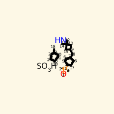 CP(C)(=O)c1ccc(CC2CC3(CNC3)C2)cc1.Cc1ccc(S(=O)(=O)O)cc1